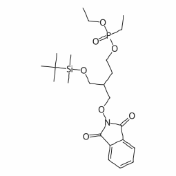 CCOP(=O)(CC)OCCC(CON1C(=O)c2ccccc2C1=O)CO[Si](C)(C)C(C)(C)C